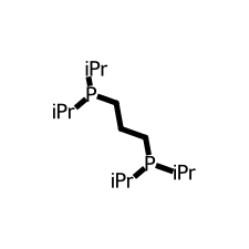 CC(C)P(CCCP(C(C)C)C(C)C)C(C)C